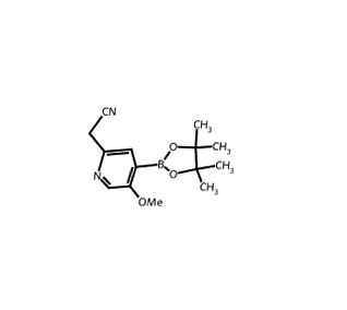 COc1cnc(CC#N)cc1B1OC(C)(C)C(C)(C)O1